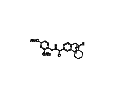 COc1ccc(CNC(=O)c2ccc3c(c2)[C@@]24CCCCC2[C@H](CCC4)C3)c(OC)c1